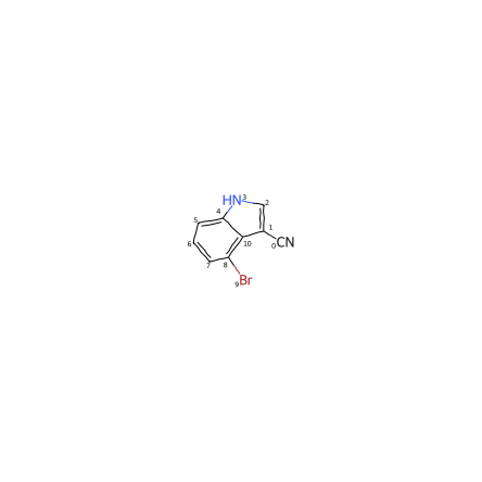 N#Cc1c[nH]c2cccc(Br)c12